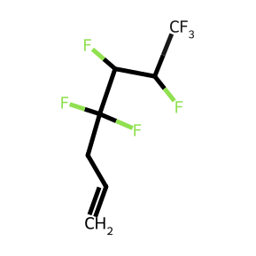 C=CCC(F)(F)C(F)C(F)C(F)(F)F